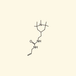 C=CCNC(=O)NCCC1CC(C)(C)N(C)C(C)(C)C1